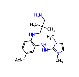 CC(=O)Nc1ccc(NCC(C)(C)CN)c(NNc2n(C)cc[n+]2C)c1